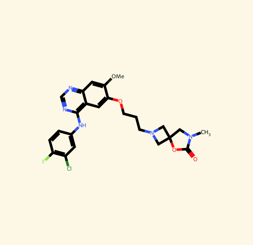 COc1cc2ncnc(Nc3ccc(F)c(Cl)c3)c2cc1OCCCN1CC2(C1)CN(C)C(=O)O2